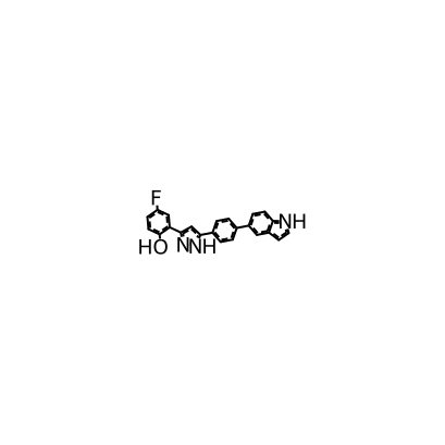 Oc1ccc(F)cc1-c1cc(-c2ccc(-c3ccc4[nH]ccc4c3)cc2)[nH]n1